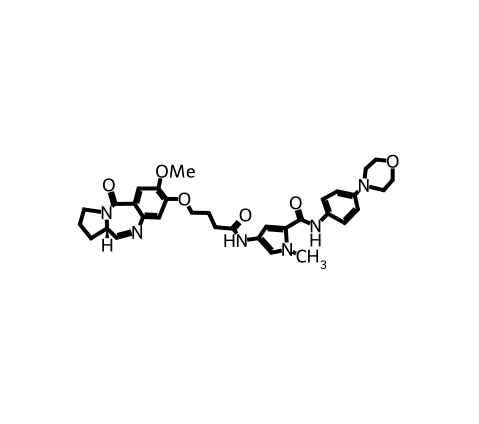 COc1cc2c(cc1OCCCC(=O)Nc1cc(C(=O)Nc3ccc(N4CCOCC4)cc3)n(C)c1)N=C[C@@H]1CCCN1C2=O